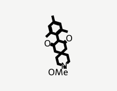 CON1CCC2(CC1)CC(=O)C(c1c(C)cc(C)cc1C)C(=O)C2